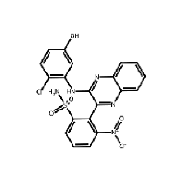 NS(=O)(=O)c1cccc([N+](=O)[O-])c1-c1nc2ccccc2nc1Nc1cc(O)ccc1Cl